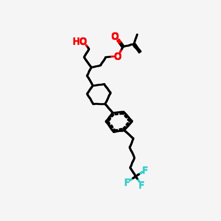 C=C(C)C(=O)OCCC(CCO)CC1CCC(c2ccc(CCCCC(F)(F)F)cc2)CC1